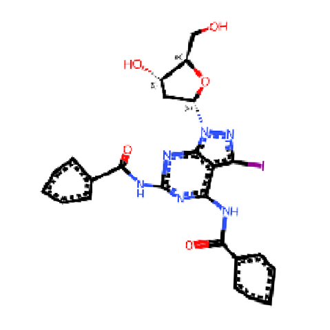 O=C(Nc1nc(NC(=O)c2ccccc2)c2c(I)nn([C@@H]3C[C@H](O)[C@@H](CO)O3)c2n1)c1ccccc1